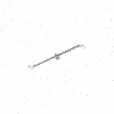 CCCCCCCCCCCCCCCCCCN(CCCCCCCCCCCCCCCCCC)C(=S)[S-].[Na+]